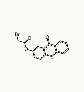 O=C(CBr)Oc1ccc2sc3ccccc3c(=O)c2c1